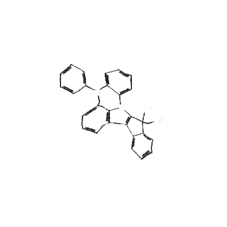 CC1(C)C2=C(c3ccccc31)c1cccc3c1B2c1ccccc1N3c1ccccc1